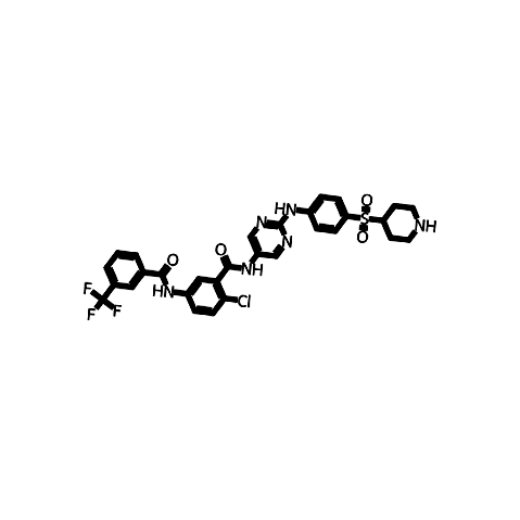 O=C(Nc1ccc(Cl)c(C(=O)Nc2cnc(Nc3ccc(S(=O)(=O)C4CCNCC4)cc3)nc2)c1)c1cccc(C(F)(F)F)c1